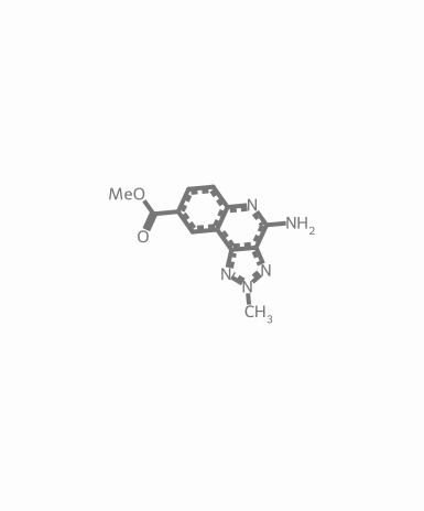 COC(=O)c1ccc2nc(N)c3nn(C)nc3c2c1